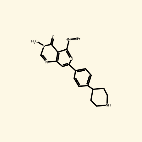 CC(C)Nc1nc(-c2ccc(C3CCNCC3)cc2)cc2ncn(C)c(=O)c12